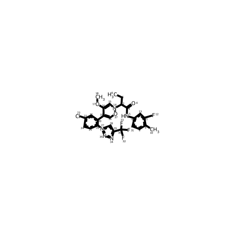 CCC(C(=O)Nc1ccc(C)c(F)c1)N1C=C(OC)C(c2cc(Cl)ccc2-n2cc(C(F)(F)F)nn2)=CO1